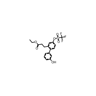 CCOC(=O)CCc1cc(OS(=O)(=O)C(F)(F)F)ccc1-c1cccc(O)c1